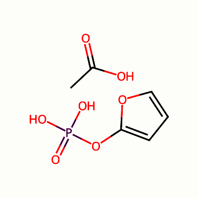 CC(=O)O.O=P(O)(O)Oc1ccco1